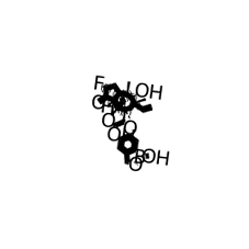 C=C[C@]1(C)C[C@@H](C(Oc2ccc3c(c2)B(O)OC3)C(=O)O)[C@@]2(C)[C@H](C)CC[C@]3(C[C@H](F)C(=O)[C@H]32)[C@@H](C)[C@@H]1O